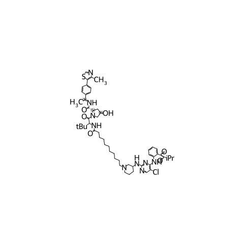 Cc1ncsc1-c1ccc([C@H](C)NC(=O)[C@@H]2C[C@@H](O)CN2C(=O)C(NC(=O)CCCCCCCCCCN2CCCC(Nc3ncc(Cl)c(Nc4ccccc4S(=O)(=O)C(C)C)n3)C2)C(C)(C)C)cc1